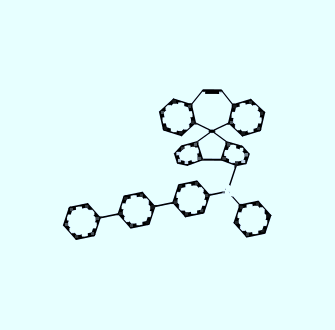 C1=Cc2ccccc2C2(c3ccccc31)c1ccccc1-c1c(N(c3ccccc3)c3ccc(-c4ccc(-c5ccccc5)cc4)cc3)cccc12